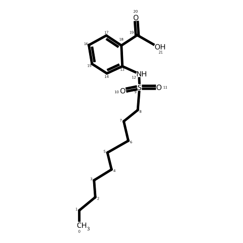 CCCCCCCCCS(=O)(=O)Nc1ccccc1C(=O)O